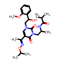 COc1ccccc1C(O)Cn1cc(/C(C)=N/OC(C)C)c(=O)n(CC(C)NC(=O)C(C)C)c1=O